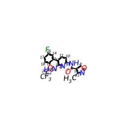 Cc1nocc1C(=O)Nc1ccc(-c2cc(F)ccc2OCC(F)(F)F)c(N)n1